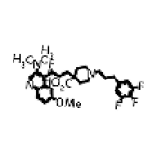 COc1ccc2ncc(N(C)C)c([C@H](F)CCC3(C(=O)O)CCN(CCCc4cc(F)c(F)c(F)c4)CC3)c2c1